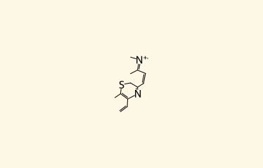 C=CC1=C(C)SCC(/C=C\C(C)=[N+](C)C)=N1